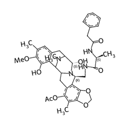 COc1c(C)cc2c(c1O)C1C3Cc4c(OC(C)=O)c(C)c5c(c4[C@H](CNC(=O)[C@H](C)NC(=O)Cc4ccccc4)N3[C@@H](O)C(C2)N1C)OCO5